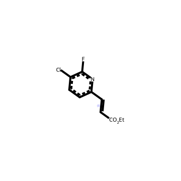 CCOC(=O)/C=C/c1ccc(Cl)c(F)n1